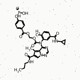 CCCNC(=O)c1cn2ncnc(N(C(=O)OCOC(=O)c3ccc(O[PH](=O)O)cc3)c3cc(C(=O)NC4CC4)ccc3C)c2c1C